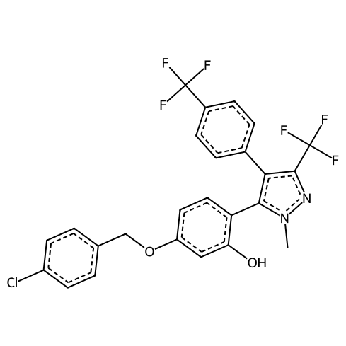 Cn1nc(C(F)(F)F)c(-c2ccc(C(F)(F)F)cc2)c1-c1ccc(OCc2ccc(Cl)cc2)cc1O